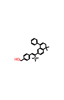 CC1(C)CC=C(c2ccccc2)c2cc(C(=Cc3ccc(CO)cc3)[Si](C)(C)C)ccc21